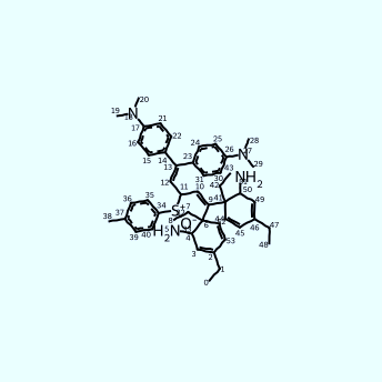 CCC1=CC(N)C(CC)(C(=CC(C=C(c2ccc(N(C)C)cc2)c2ccc(N(C)C)cc2)[S+]([O-])c2ccc(C)cc2)C2(CC)C=CC(CC)=CC2N)C=C1